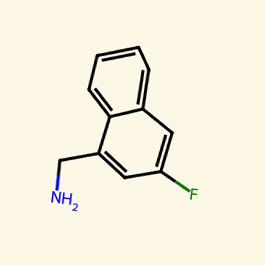 NCc1cc(F)cc2ccccc12